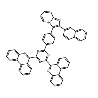 c1ccc2cc(-c3nc4ccccn4c3-c3ccc(-c4nc(-c5nc6ccccc6c6ccccc56)nc(-c5nc6ccccc6c6ccccc56)n4)cc3)ccc2c1